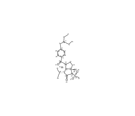 CCN(CC)Cc1ccc(C(=O)N2CC[C@H]3[C@H]2[C@@H](C(C)C)C(=O)N3S(C)(=O)=O)cc1